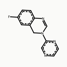 Fc1ccc2c(c1)CN(c1cnccn1)C=N2